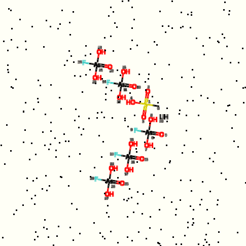 CS(=O)(=O)O.O=[As](O)(O)F.O=[As](O)(O)F.O=[As](O)(O)F.O=[As](O)(O)F.O=[As](O)(O)F.[LiH]